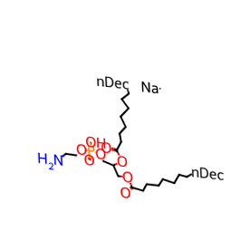 CCCCCCCCCCCCCCCCCC(=O)OCC(COP(=O)(O)OCCN)OC(=O)CCCCCCCCCCCCCCCCC.[Na]